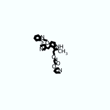 Cc1[nH]c2ccc(OCc3nc4ccccc4s3)c(Cc3cccnc3)c2c1CCON=CC(=O)Oc1cccnc1